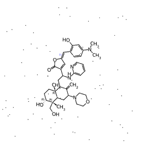 C=C1C(N2CCOCC2)CC2[C@](C)(CC[C@@H](O)[C@@]2(C)CO)C1CC(Nc1ccccn1)C1=C/C(=C\c2ccc(N(C)C)cc2O)OC1=O